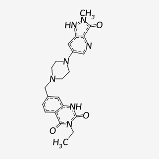 CCn1c(=O)[nH]c2cc(CN3CCN(c4cnc5c(=O)n(C)[nH]c5c4)CC3)ccc2c1=O